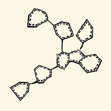 c1ccc(-c2ccc(-c3nc(-c4cccc(-c5ccccc5)c4)c4c(n3)c3ccccc3n4-c3ccccc3)cc2)cc1